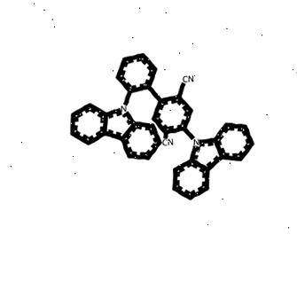 N#Cc1cc(-n2c3ccccc3c3ccccc32)c(C#N)cc1-c1ccccc1-n1c2ccccc2c2ccccc21